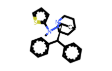 CN(c1cccs1)[C@@]1(C(c2ccccc2)c2ccccc2)CC2CCN1CC2